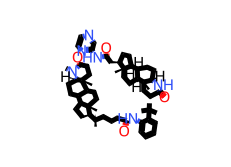 C[C@H](CCCC(=O)Nc1ccccc1C(C)(C)C)[C@H]1CCC2C3CC[C@H]4N(C)C(=O)CC[C@]4(C)C3CC[C@@]21C.C[C@]12CCC(=O)N[C@@H]1CC[C@@H]1[C@@H]2CC[C@]2(C)[C@@H](CC(=O)Nc3cnccn3)CC[C@@H]12